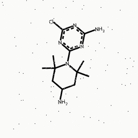 CC1(C)CC(N)CC(C)(C)N1c1nc(N)nc(Cl)n1